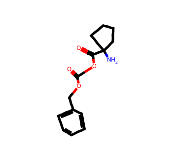 NC1(C(=O)OC(=O)OCc2ccccc2)CCCC1